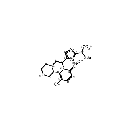 CC(C)(C)N(C(=O)O)c1ncc(C(CN2CCOCC2)N2C=C(Cl)C=CC2=C=O)s1